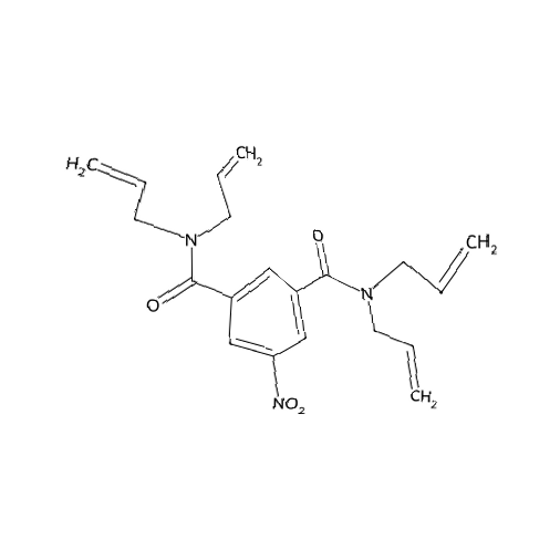 C=CCN(CC=C)C(=O)c1cc(C(=O)N(CC=C)CC=C)cc([N+](=O)[O-])c1